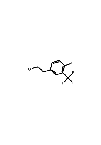 COCc1ccc(F)c(C(F)(F)F)c1